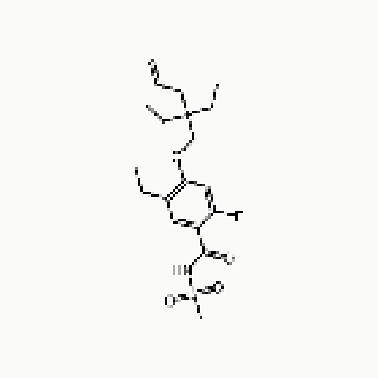 C=CCC(CC)(CC)COc1cc(F)c(C(=O)NS(C)(=O)=O)cc1CC